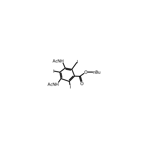 CCCCOC(=O)c1c(I)c(NC(C)=O)c(I)c(NC(C)=O)c1I